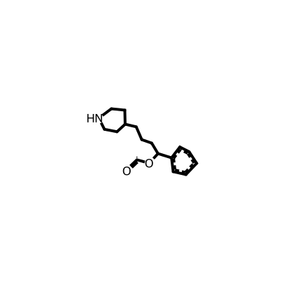 O=[C]OC(CCCC1CCNCC1)c1ccccc1